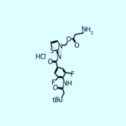 CC(C)(C)CC(=O)Nc1c(F)cc(C(=O)/N=c2\sccn2COC(=O)CCN)cc1F.Cl